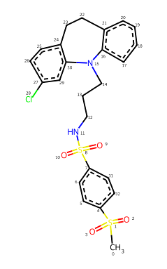 CS(=O)(=O)c1ccc(S(=O)(=O)NCCCN2c3ccccc3CCc3ccc(Cl)cc32)cc1